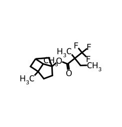 CCC(C)(C(=O)OC12CCC3(C)CC(C1)C32C)C(F)(F)F